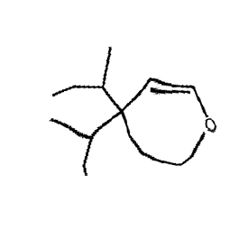 CC(C)C1(C(C)C)C=COCC1